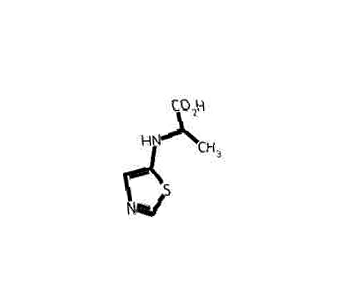 CC(Nc1cncs1)C(=O)O